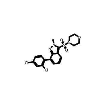 Cn1nc2c(-c3ccc(Cl)cc3Cl)cccc2c1S(=O)(=O)N1CCOCC1